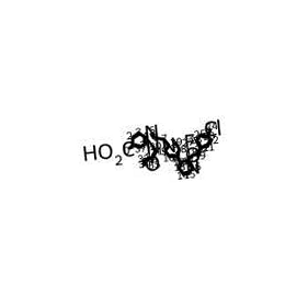 O=C(O)c1ccc2nc(CN3CC=C(c4cccnc4OCc4ccc(Cl)cc4F)CC3)n(CC3CCO3)c2c1